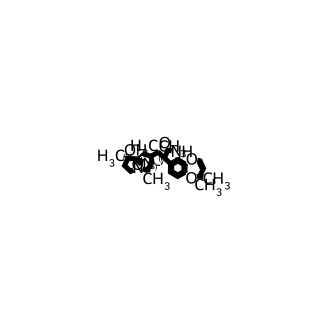 CN1C(=O)[C@]23CC4C(C)(C)[C@@]5(C[C@@]41CN2CC[C@@]3(C)O)C(=O)Nc1c5ccc2c1OC=CC(C)(C)O2